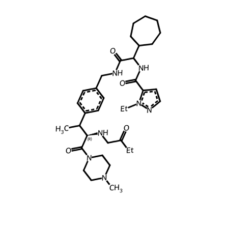 CCC(=O)CN[C@@H](C(=O)N1CCN(C)CC1)C(C)c1ccc(CNC(=O)C(NC(=O)c2ccnn2CC)C2CCCCCC2)cc1